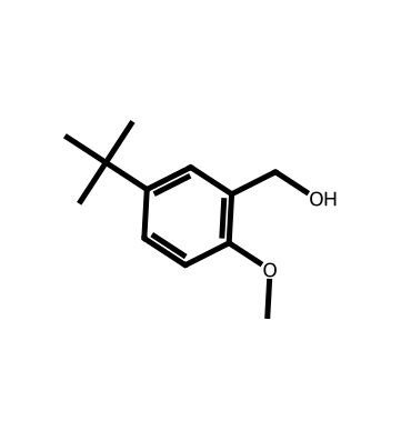 COc1ccc(C(C)(C)C)cc1CO